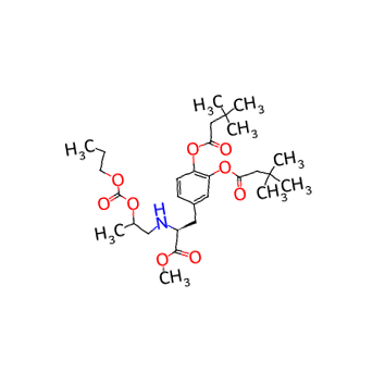 CCCOC(=O)OC(C)CN[C@@H](Cc1ccc(OC(=O)CC(C)(C)C)c(OC(=O)CC(C)(C)C)c1)C(=O)OC